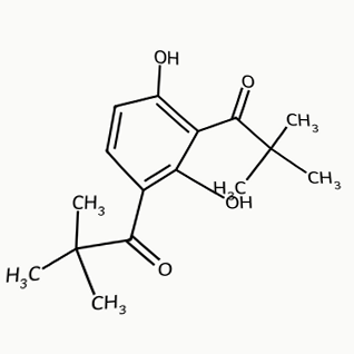 CC(C)(C)C(=O)c1ccc(O)c(C(=O)C(C)(C)C)c1O